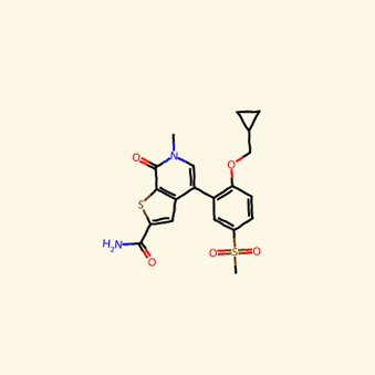 Cn1cc(-c2cc(S(C)(=O)=O)ccc2OCC2CC2)c2cc(C(N)=O)sc2c1=O